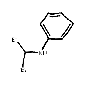 CCC(CC)Nc1ccccc1